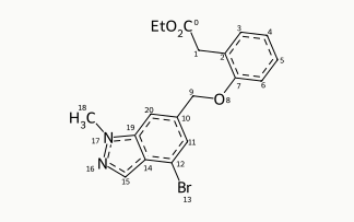 CCOC(=O)Cc1ccccc1OCc1cc(Br)c2cnn(C)c2c1